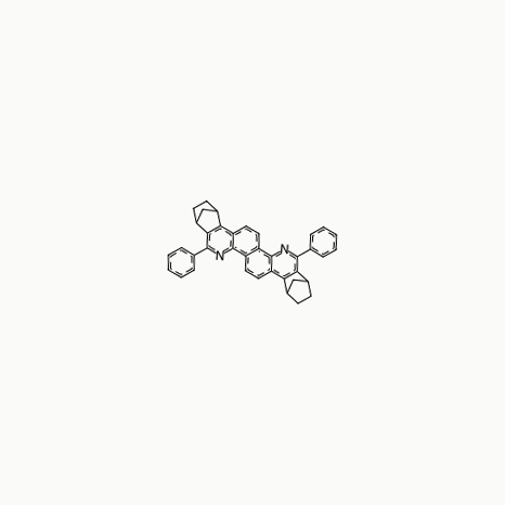 c1ccc(-c2nc3c(ccc4c3ccc3c5c(c(-c6ccccc6)nc34)C3CCC5C3)c3c2C2CCC3C2)cc1